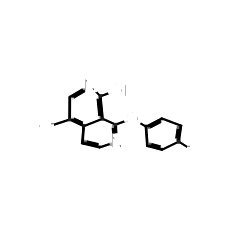 Oc1ncc(Cl)c2ccnc(Oc3ccc(F)cc3)c12